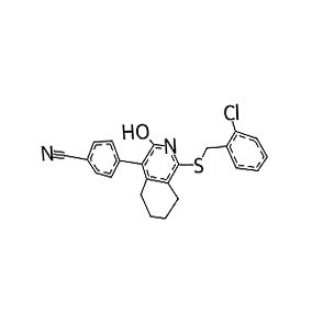 N#Cc1ccc(-c2c(O)nc(SCc3ccccc3Cl)c3c2CCCC3)cc1